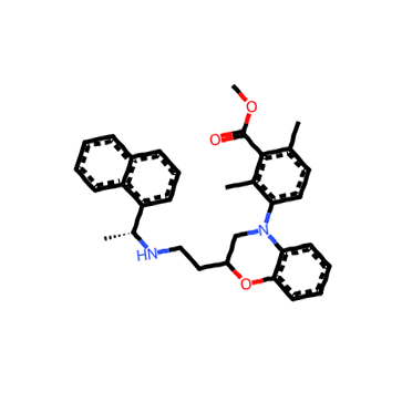 COC(=O)c1c(C)ccc(N2CC(CCN[C@H](C)c3cccc4ccccc34)Oc3ccccc32)c1C